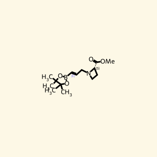 COC(=O)[C@@H]1CCN1C/C=C/B1OC(C)(C)C(C)(C)O1